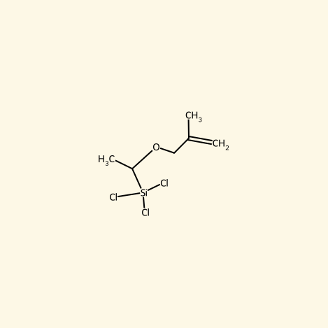 C=C(C)COC(C)[Si](Cl)(Cl)Cl